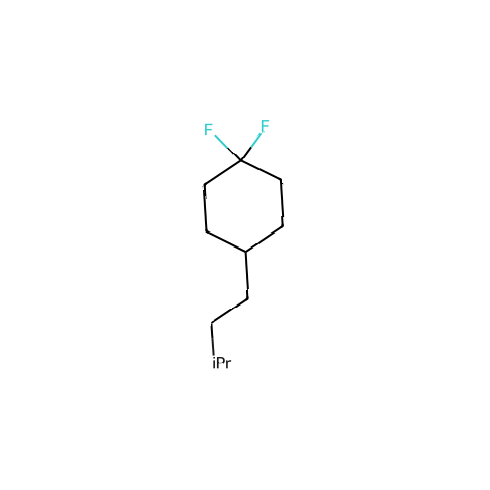 CC(C)CCC1CCC(F)(F)CC1